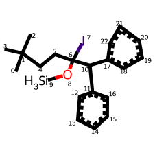 CC(C)(C)CCC(I)(O[SiH3])C(c1ccccc1)c1ccccc1